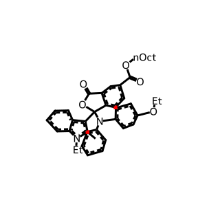 CCCCCCCCOC(=O)c1ccc2c(c1)C(=O)OC2(c1c(C)n(CC)c2ccccc12)N(c1ccccc1)c1ccc(OCC)cc1